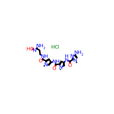 Cl.Cn1cc(NC(=O)c2cc(NC(=O)c3nc(N)cn3C)cn2C)cc1C(=O)NCCC(N)=NO